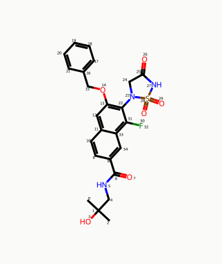 CC(C)(O)CNC(=O)c1ccc2cc(OCc3ccccc3)c(N3CC(=O)NS3(=O)=O)c(F)c2c1